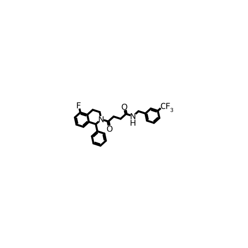 O=C(CCC(=O)N1CCc2c(F)cccc2C1c1ccccc1)NCc1cccc(C(F)(F)F)c1